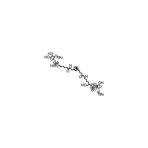 CC(C)(C)OC[C@H]1O[C@@H](O)C(O)C1OP(=O)(O)OCC(CO)CCCCNC(=O)CCCn1cc(CNC(=O)CCCCCOP(=O)(O)OC[C@H]2O[C@@H](O)C(O)C2OC(C)(C)C)nn1